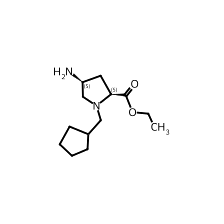 CCOC(=O)[C@@H]1C[C@H](N)CN1CC1CCCC1